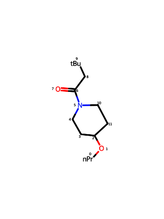 CCCOC1CCN(C(=O)CC(C)(C)C)CC1